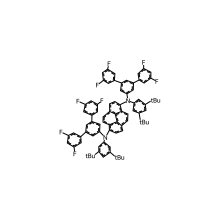 CC(C)(C)c1cc(N(c2cc(-c3cc(F)cc(F)c3)cc(-c3cc(F)cc(F)c3)c2)c2ccc3ccc4c(N(c5cc(-c6cc(F)cc(F)c6)cc(-c6cc(F)cc(F)c6)c5)c5cc(C(C)(C)C)cc(C(C)(C)C)c5)ccc5ccc2c3c54)cc(C(C)(C)C)c1